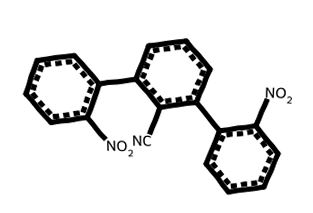 N#Cc1c(-c2ccccc2[N+](=O)[O-])cccc1-c1ccccc1[N+](=O)[O-]